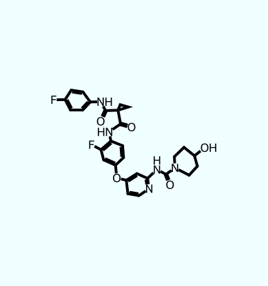 O=C(Nc1cc(Oc2ccc(NC(=O)C3(C(=O)Nc4ccc(F)cc4)CC3)c(F)c2)ccn1)N1CCC(O)CC1